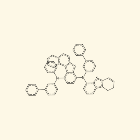 C1=Cc2sc3c(N(c4cccc(-c5ccccc5)c4)c4ccc(N(c5ccccc5)c5cccc(-c6ccccc6)c5)c5c4sc4ccc6ccccc6c45)cccc3c2CC1